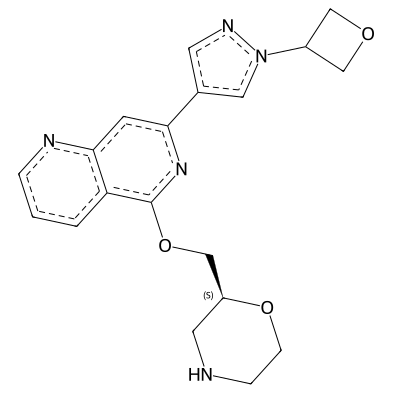 c1cnc2cc(-c3cnn(C4COC4)c3)nc(OC[C@@H]3CNCCO3)c2c1